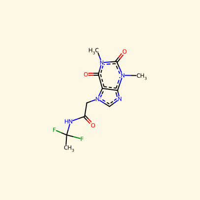 Cn1c(=O)c2c(ncn2CC(=O)NC(C)(F)F)n(C)c1=O